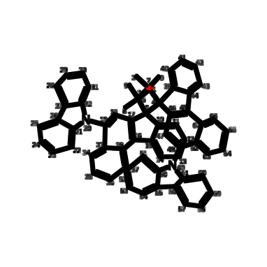 CC(C)(C)C1(C2(C(C)(C)C)c3ccccc3-c3c2cc(-n2c4ccccc4c4ccccc42)c2ccccc32)c2ccccc2-c2c1cc(-n1c3ccccc3c3ccccc31)c1ccccc21